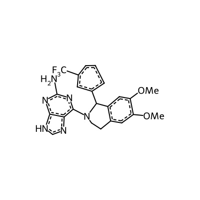 COc1cc2c(cc1OC)C(c1cccc(C(F)(F)F)c1)N(c1nc(N)nc3[nH]cnc13)CC2